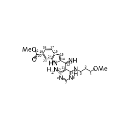 COCCCNc1ncnc(N)c1C(=N)c1cc2ccc(C(=O)OC)cc2[nH]1